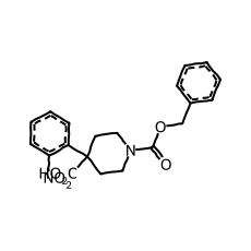 O=C(OCc1ccccc1)N1CCC(C(=O)O)(c2ccccc2[N+](=O)[O-])CC1